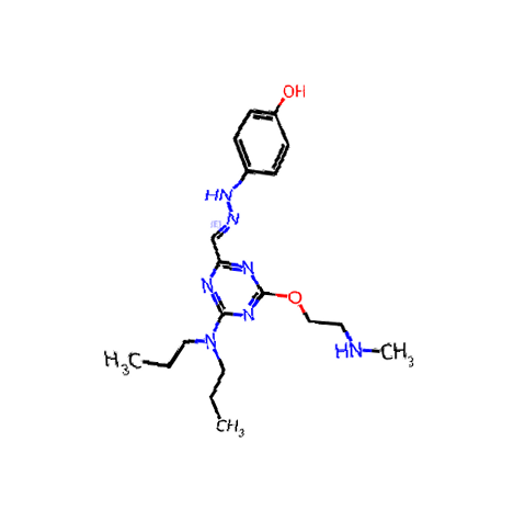 CCCN(CCC)c1nc(/C=N/Nc2ccc(O)cc2)nc(OCCNC)n1